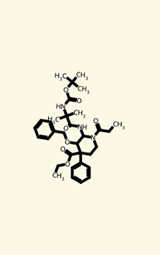 CCOC(=O)C1(c2ccccc2)CCN(C(=O)CC)C(NC(=O)C(C)(C)NC(=O)OC(C)(C)C)C1OCc1ccccc1